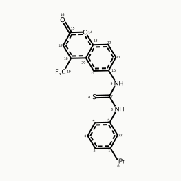 CC(C)c1cccc(NC(=S)Nc2ccc3oc(=O)cc(C(F)(F)F)c3c2)c1